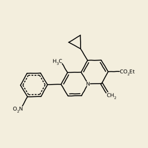 C=C1C(C(=O)OCC)=CC(C2CC2)=C2C(C)=C(c3cccc([N+](=O)[O-])c3)C=CN12